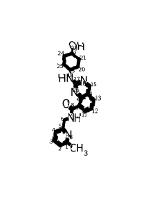 Cc1cccc(CNC(=O)c2cccc3cnc(N[C@H]4CC[C@H](O)CC4)nc23)n1